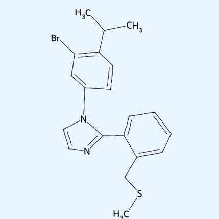 CSCc1ccccc1-c1nccn1-c1ccc(C(C)C)c(Br)c1